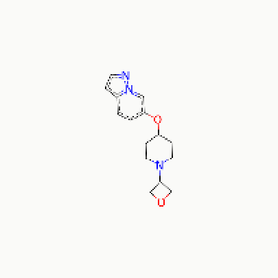 c1cc2ccc(OC3CCN(C4COC4)CC3)cn2n1